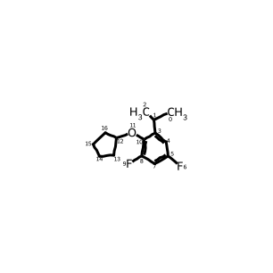 CC(C)c1cc(F)cc(F)c1OC1CCCC1